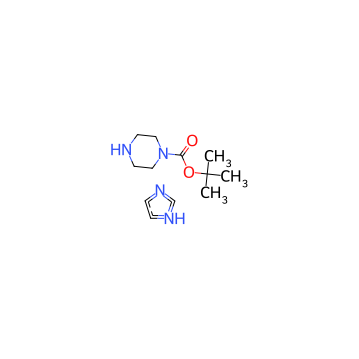 CC(C)(C)OC(=O)N1CCNCC1.c1c[nH]cn1